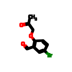 CC(=O)COc1ccc(Br)cc1C=O